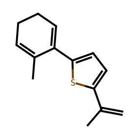 C=C(C)c1ccc(C2=CCCC=C2C)s1